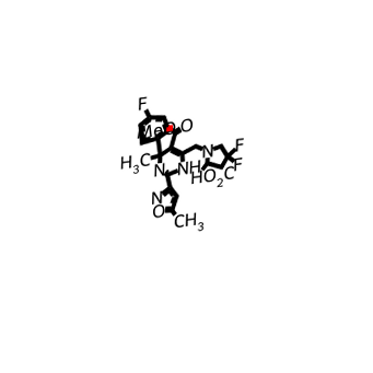 COC(=O)C1=C(CN2CC(F)(F)CC2C(=O)O)NC(c2cc(C)on2)=NC1(C)c1ccc(F)cc1